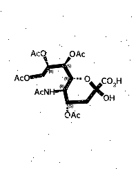 CC(=O)N[C@H]1[C@H]([C@H](OC(C)=O)[C@@H](COC(C)=O)OC(C)=O)OC(O)(C(=O)O)C[C@@H]1OC(C)=O